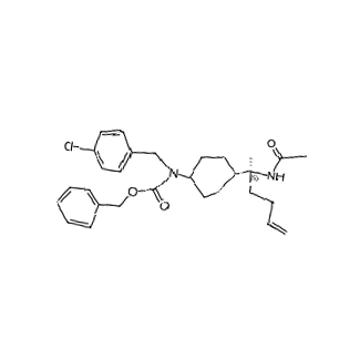 C=CCC[C@](C)(NC(C)=O)C1CCC(N(Cc2ccc(Cl)cc2)C(=O)OCc2ccccc2)CC1